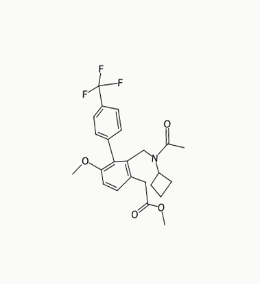 COC(=O)Cc1ccc(OC)c(-c2ccc(C(F)(F)F)cc2)c1CN(C(C)=O)C1CCC1